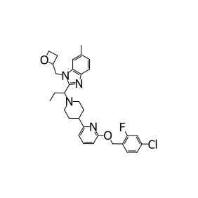 CCC(c1nc2ccc(C)cc2n1CC1CCO1)N1CCC(c2cccc(OCc3ccc(Cl)cc3F)n2)CC1